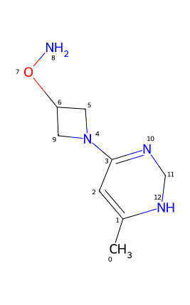 CC1=CC(N2CC(ON)C2)=NCN1